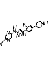 N#Cc1cnc(Nc2cc(-c3ccc(C4CCNCC4)cc3F)[nH]n2)cn1